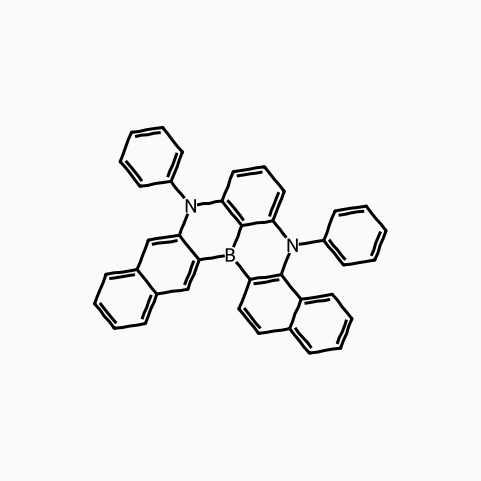 c1ccc(N2c3cc4ccccc4cc3B3c4ccc5ccccc5c4N(c4ccccc4)c4cccc2c43)cc1